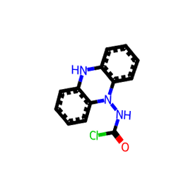 O=C(Cl)NN1c2ccccc2Nc2ccccc21